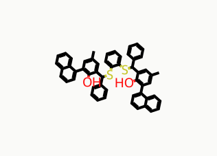 Cc1cc(-c2cccc3ccccc23)c(O)c(C(Sc2ccccc2SC(c2ccccc2)c2cc(C)cc(-c3cccc4ccccc34)c2O)c2ccccc2)c1